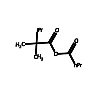 CCCC(=O)OC(=O)C(C)(C)C(C)C